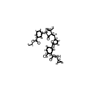 CCOC(=O)c1cccc(N2N=C(C)/C(=C/c3ccc(-c4ccc(Cl)c(C(=O)NC5CC5)c4)o3)C2=O)c1